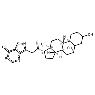 C[C@]12CC[C@H]3[C@@H](CCC4CC(O)CC[C@@]43C)[C@@H]1CC[C@@H]2C(=O)Cn1ncc2c(=O)[nH]cnc21